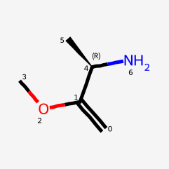 C=C(OC)[C@@H](C)N